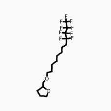 FC(F)(F)C(F)(F)C(F)(F)C(F)(F)CCCCCCCCOCC1CCCO1